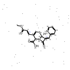 COC(=O)/C=C/C1=CS[C@H]2/C(=C\c3ccccn3)C(=O)N2C1C(=O)O